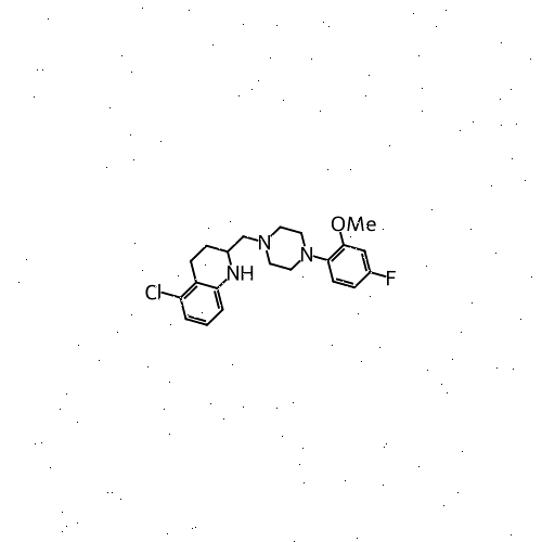 COc1cc(F)ccc1N1CCN(CC2CCc3c(Cl)cccc3N2)CC1